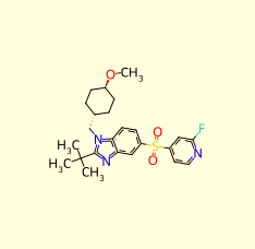 CO[C@H]1CC[C@H](Cn2c(C(C)(C)C)nc3cc(S(=O)(=O)c4ccnc(F)c4)ccc32)CC1